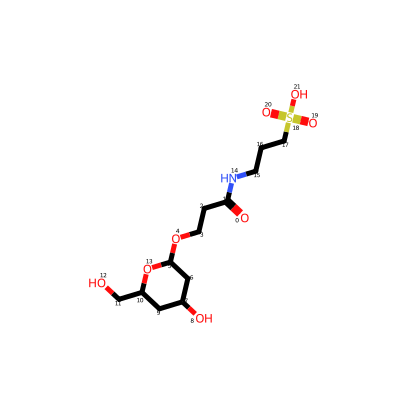 O=C(CCOC1CC(O)CC(CO)O1)NCCCS(=O)(=O)O